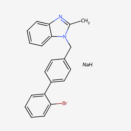 Cc1nc2ccccc2n1Cc1ccc(-c2ccccc2Br)cc1.[NaH]